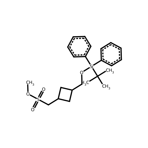 COS(=O)(=O)CC1CC(CO[Si](c2ccccc2)(c2ccccc2)C(C)(C)C)C1